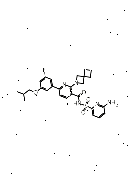 CC(C)COc1cc(F)cc(-c2ccc(C(=O)NS(=O)(=O)c3cccc(N)n3)c(N3CC4(CCC4)C3)n2)c1